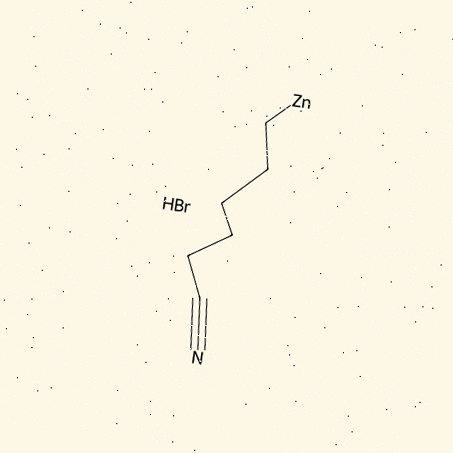 Br.N#CCCCC[CH2][Zn]